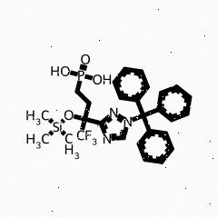 C[Si](C)(C)OC(CCP(=O)(O)O)(c1ncn(C(c2ccccc2)(c2ccccc2)c2ccccc2)n1)C(F)(F)F